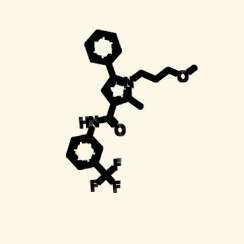 COCCCn1c(-c2ccccc2)cc(C(=O)Nc2cccc(C(F)(F)F)c2)c1C